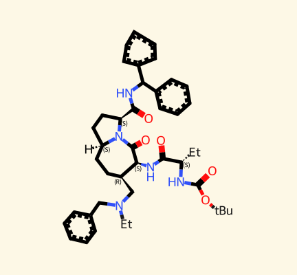 CC[C@H](NC(=O)OC(C)(C)C)C(=O)N[C@@H]1C(=O)N2[C@@H](CC[C@@H]1CN(CC)Cc1ccccc1)CC[C@H]2C(=O)NC(c1ccccc1)c1ccccc1